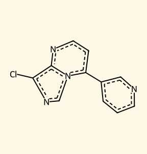 Clc1ncn2c(-c3cccnc3)ccnc12